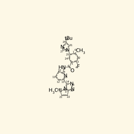 Cc1cc(F)c(C(=O)Nc2cccc(-c3nnc4n3[C@@H](C)C=C4)n2)cc1-n1cnc(C(C)(C)C)c1